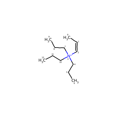 C/C=C\[N+](CCC)(CCC)CCC